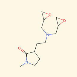 CN1CCC(CCN(CC2CO2)CC2CO2)C1=O